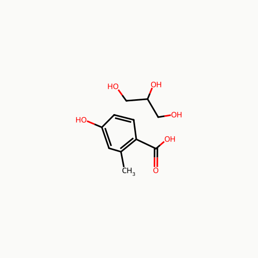 Cc1cc(O)ccc1C(=O)O.OCC(O)CO